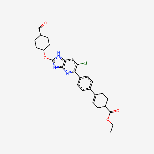 CCOC(=O)C1CC=C(c2ccc(-c3nc4nc(O[C@H]5CC[C@H](C=O)CC5)[nH]c4cc3Cl)cc2)CC1